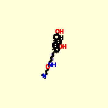 CN(C)CCCONC/C=C/C=C/[C@H]1CC[C@]2(O)[C@@H]3CC[C@@H]4C[C@@H](O)CC[C@]4(C)[C@H]3CC[C@]12C